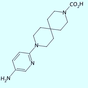 Nc1ccc(N2CCC3(CCN(C(=O)O)CC3)CC2)nc1